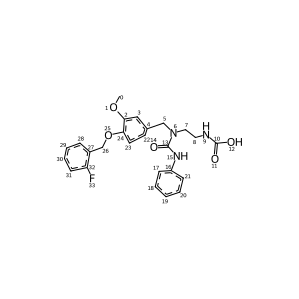 COc1cc(CN(CCNC(=O)O)C(=O)Nc2ccccc2)ccc1OCc1ccccc1F